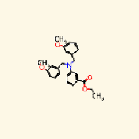 CCOC(=O)c1cccc(N(Cc2cccc(OC)c2)Cc2cccc(OC)c2)c1